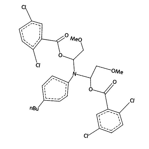 CCCCc1ccc(N(C(COC)OC(=O)c2cc(Cl)ccc2Cl)C(COC)OC(=O)c2cc(Cl)ccc2Cl)cc1